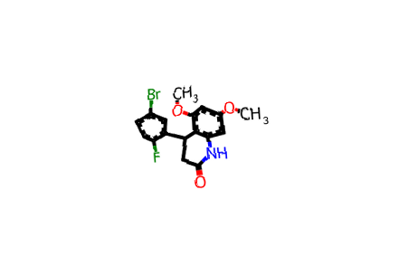 COc1cc2c(c(OC)c1)C(c1cc(Br)ccc1F)CC(=O)N2